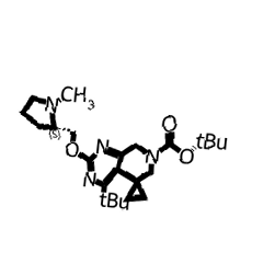 CN1CCC[C@H]1COc1nc2c(c(C(C)(C)C)n1)C1(CC1)CN(C(=O)OC(C)(C)C)C2